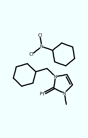 ClN(Cl)C1CCCCC1.Cn1ccn(CC2CCCCC2)[c]1=[Pt]